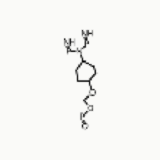 N=PN(P=N)C1CCC(OCOP=O)CC1